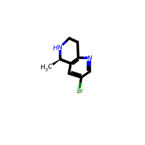 C[C@H]1NCCc2ncc(Br)cc21